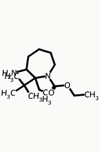 CCOC(=O)N1CCCCC(N)C1(CC)C(C)(C)C